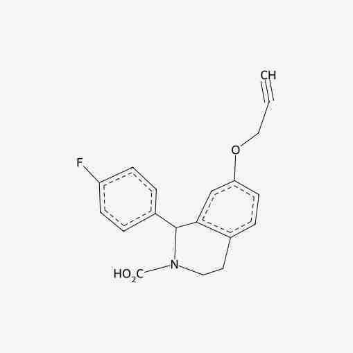 C#CCOc1ccc2c(c1)C(c1ccc(F)cc1)N(C(=O)O)CC2